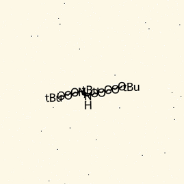 CC(C)(CN(CCOCCOCCOC(C)(C)C)C(C)(C)C)NCCOCCOCCOCCOCCOC(C)(C)C